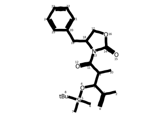 C=C(C)C(O[Si](C)(C)C(C)(C)C)C(C)C(=O)N1C(=O)OCC1Cc1ccccc1